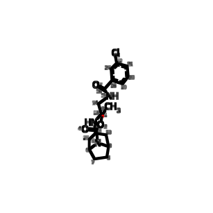 CCOC(=O)N1C2CCC1CC(NCCNC(=O)c1cccc(Cl)c1)C2